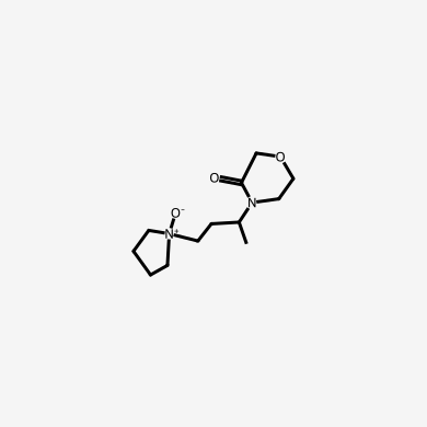 CC(CC[N+]1([O-])CCCC1)N1CCOCC1=O